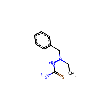 CCN(Cc1ccccc1)NC(N)=S